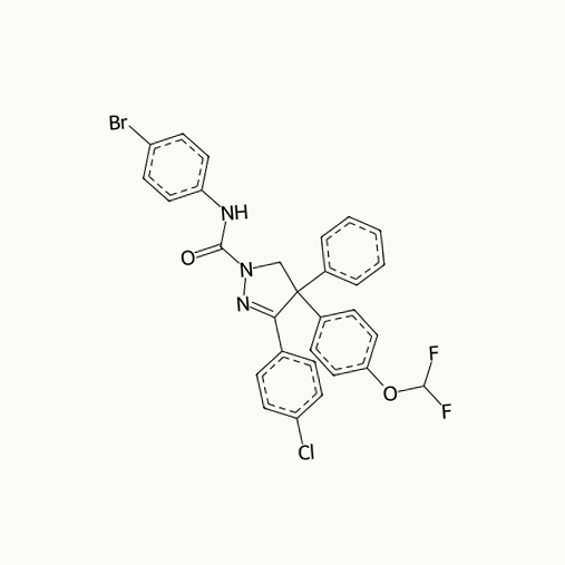 O=C(Nc1ccc(Br)cc1)N1CC(c2ccccc2)(c2ccc(OC(F)F)cc2)C(c2ccc(Cl)cc2)=N1